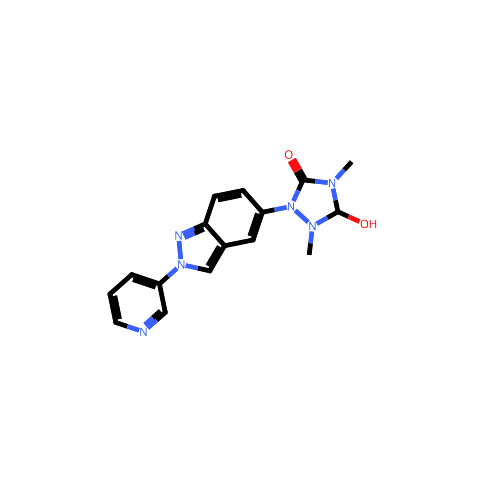 CN1C(=O)N(c2ccc3nn(-c4cccnc4)cc3c2)N(C)C1O